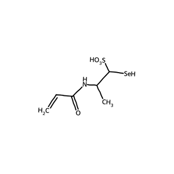 C=CC(=O)NC(C)C([SeH])S(=O)(=O)O